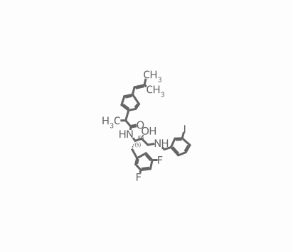 CC(C)=Cc1ccc(C(C)C(=O)N[C@@H](Cc2cc(F)cc(F)c2)[C@H](O)CNCc2cccc(I)c2)cc1